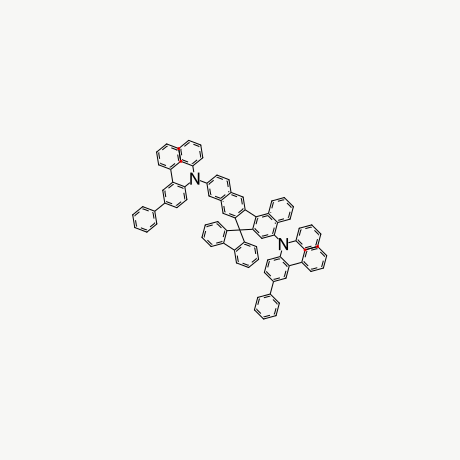 c1ccc(-c2ccc(N(c3ccccc3)c3ccc4cc5c(cc4c3)C3(c4ccccc4-c4ccccc43)c3cc(N(c4ccccc4)c4ccc(-c6ccccc6)cc4-c4ccccc4)c4ccccc4c3-5)c(-c3ccccc3)c2)cc1